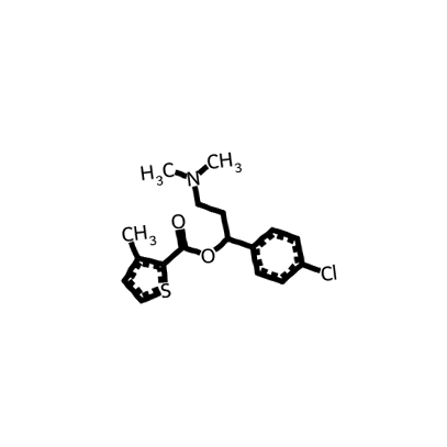 Cc1ccsc1C(=O)OC(CCN(C)C)c1ccc(Cl)cc1